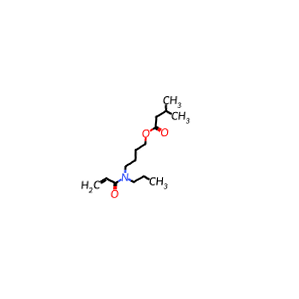 C=CC(=O)N(CCC)CCCCOC(=O)CC(C)C